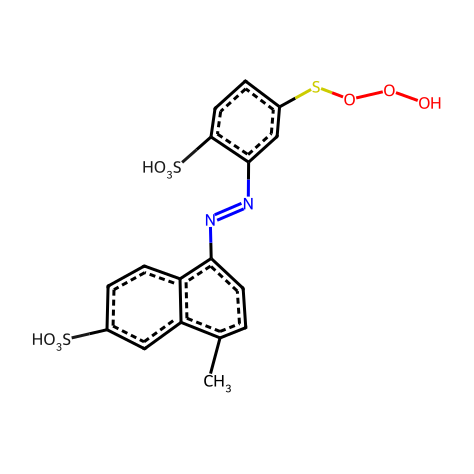 Cc1ccc(N=Nc2cc(SOOO)ccc2S(=O)(=O)O)c2ccc(S(=O)(=O)O)cc12